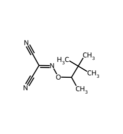 CC(ON=C(C#N)C#N)C(C)(C)C